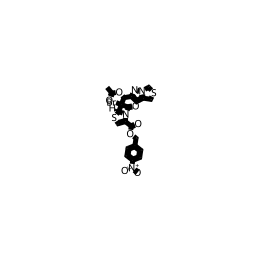 CC(=O)OC(c1cc2n(n1)CSC2)C1(Br)C(=O)N2C(C(=O)OCc3ccc([N+](=O)[O-])cc3)=CS[C@@H]21